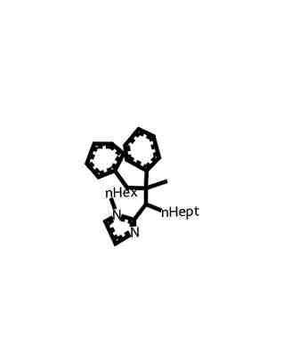 CCCCCCCC(c1nccn1CCCCCC)C(C)(Cc1ccccc1)c1ccccc1